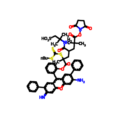 CCCCSC(=S)SC(C)(CC(CC(C)(C)C(=O)ON1C(=O)CCC1=O)C(=O)NC(C)(C)CS(=O)(=O)O)C(=O)Oc1ccccc1-c1c2cc(-c3ccccc3)c(=N)cc-2oc2cc(N)c(-c3ccccc3)cc12